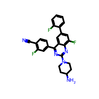 N#Cc1ccc(-c2nc(N3CCC(N)CC3)nc3c(F)cc(-c4ccccc4F)cc23)cc1F